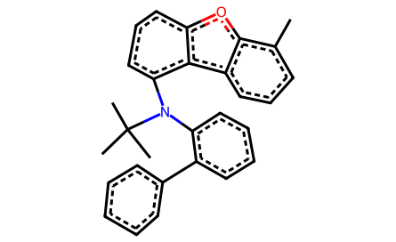 Cc1cccc2c1oc1cccc(N(c3ccccc3-c3ccccc3)C(C)(C)C)c12